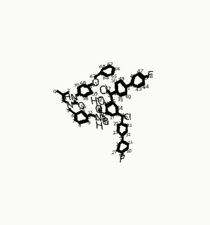 CC(C)CN(Cc1cccc(CNS(=O)(=O)c2cc(C(Cl)c3ccc(-c4ccc(F)cc4)cc3)cc(C(Cl)c3ccc(-c4ccc(F)cc4)cc3)c2O)c1)C(=O)Nc1ccc(OCc2ccccc2)cc1